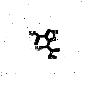 COC(=O)C(C)c1n[nH]cc1C(N)=O